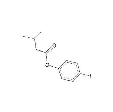 CC(C)CC(=O)Oc1ccc(I)cc1